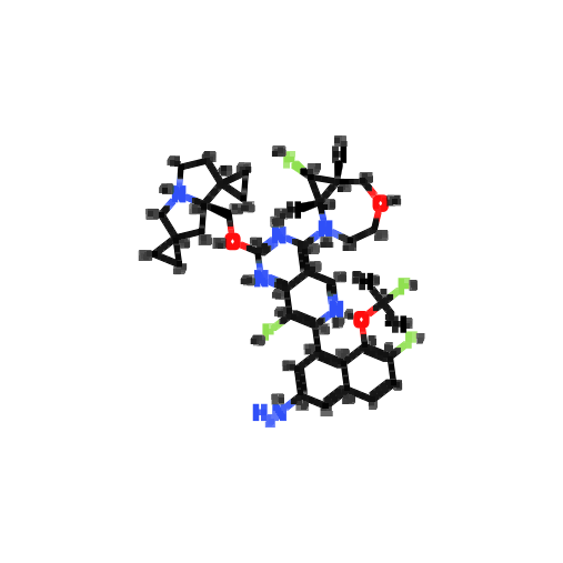 [2H]C([2H])(F)Oc1c(F)ccc2cc(N)cc(-c3ncc4c(N5CCOC[C@H]6[C@H](F)[C@H]65)nc(OC[C@@]56CC7(CC7)CN5CCC65CC5)nc4c3F)c12